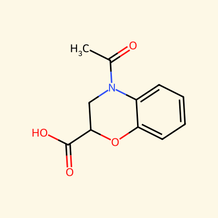 CC(=O)N1CC(C(=O)O)Oc2ccccc21